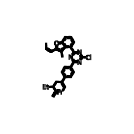 C=CC(CC)C/C(=C\C(C)C)c1ccc(-c2nc(Cl)nc(-c3cccc4oc(/C=C\C)c(C)c34)n2)cc1